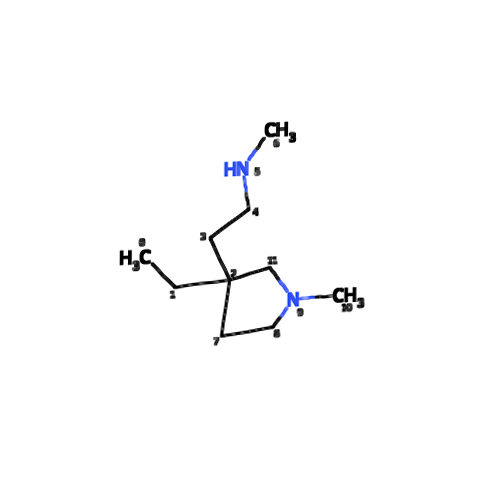 CCC1(CCNC)CCN(C)C1